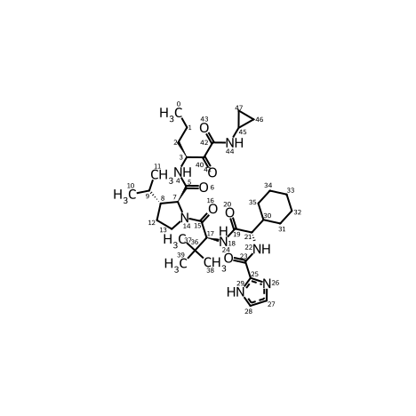 CCC[C@H](NC(=O)[C@@H]1[C@@H](C(C)C)CCN1C(=O)[C@@H](NC(=O)[C@@H](NC(=O)c1ncc[nH]1)C1CCCCC1)C(C)(C)C)C(=O)C(=O)NC1CC1